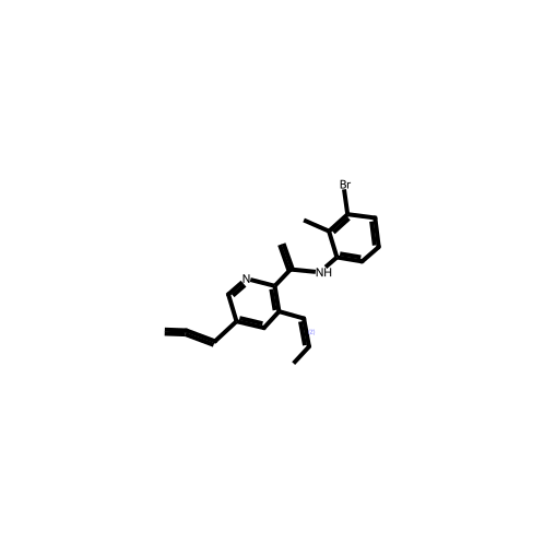 C=C=Cc1cnc(C(=C)Nc2cccc(Br)c2C)c(/C=C\C)c1